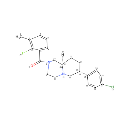 Cc1cccc(C(=O)N2CCN3C[C@@H](c4ccc(Cl)cc4)CC[C@@H]3C2)c1F